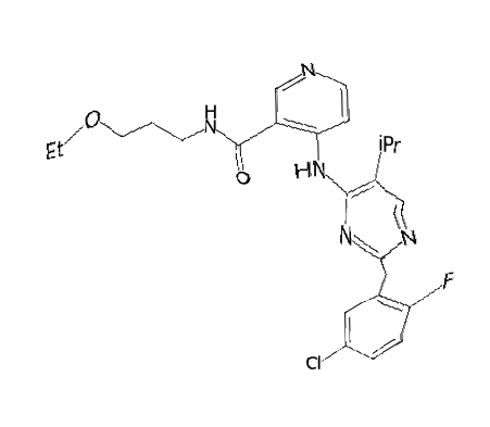 CCOCCCNC(=O)c1cnccc1Nc1nc(-c2cc(Cl)ccc2F)ncc1C(C)C